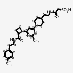 O=C(CS(=O)(=O)O)NCCC1CCN(c2cc(N3CCC3C(=O)NCCc3ccc(C(F)(F)F)cc3)nc(C(F)(F)F)n2)CC1